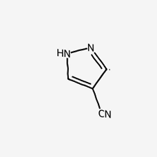 N#Cc1[c]n[nH]c1